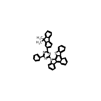 CC1(C)c2ccccc2-c2ccc(-c3nc(-c4ccccc4)nc(-n4c5ccccc5c5c6ccccc6c6c7ccccc7sc6c54)n3)cc21